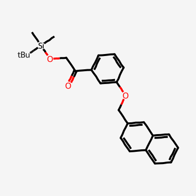 CC(C)(C)[Si](C)(C)OCC(=O)c1cccc(OCc2ccc3ccccc3c2)c1